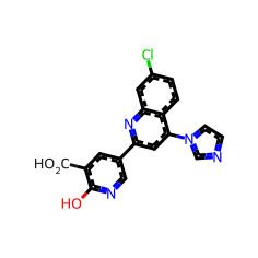 O=C(O)c1cc(-c2cc(-n3ccnc3)c3ccc(Cl)cc3n2)cnc1O